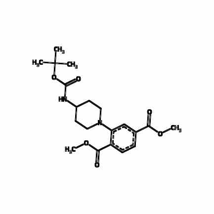 COC(=O)c1ccc(C(=O)OC)c(N2CCC(NC(=O)OC(C)(C)C)CC2)c1